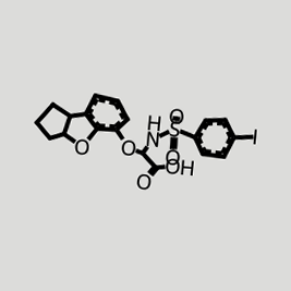 O=C(O)C(NS(=O)(=O)c1ccc(I)cc1)Oc1cccc2c1OC1CCCC21